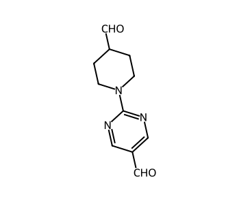 O=Cc1cnc(N2CCC(C=O)CC2)nc1